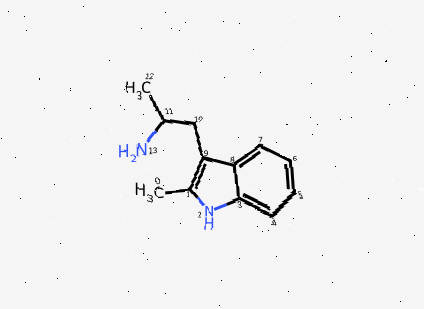 Cc1[nH]c2ccccc2c1CC(C)N